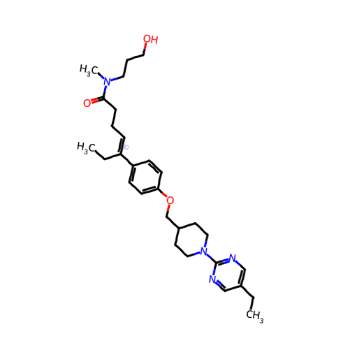 CC/C(=C\CCC(=O)N(C)CCCO)c1ccc(OCC2CCN(c3ncc(CC)cn3)CC2)cc1